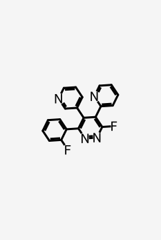 Fc1ccccc1-c1nnc(F)c(-c2ccccn2)c1-c1cccnc1